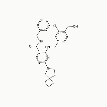 O=C(NCc1ccccc1)c1cnc(N2CCC3(CCC3)C2)nc1NCc1ccc(CO)c(Cl)c1